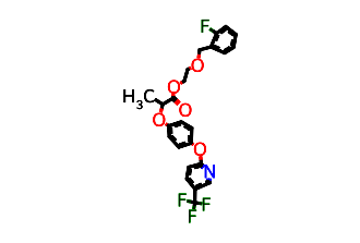 CC(Oc1ccc(Oc2ccc(C(F)(F)F)cn2)cc1)C(=O)OCCOCc1ccccc1F